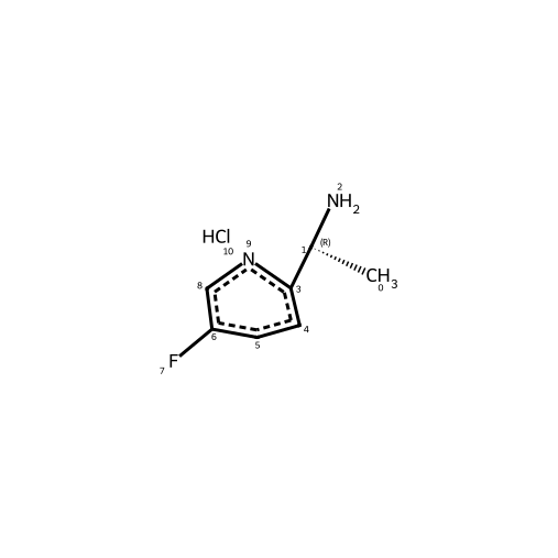 C[C@@H](N)c1ccc(F)cn1.Cl